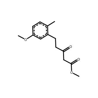 COC(=O)CC(=O)CCc1cc(OC)ccc1C